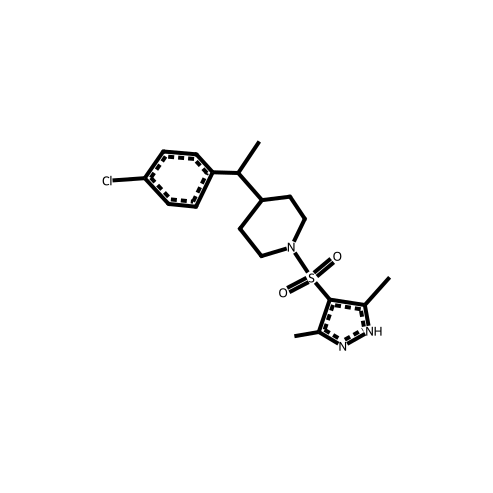 Cc1n[nH]c(C)c1S(=O)(=O)N1CCC(C(C)c2ccc(Cl)cc2)CC1